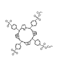 O=S(=O)([O-])c1ccc(-c2c3nc(c(-c4ccc(S(=O)(=O)[O-])cc4)c4ccc([nH]4)c(-c4ccc(S(=O)(=O)[O-])cc4)c4nc(c(-c5ccc(S(=O)(=O)[O-])cc5)c5ccc2[nH]5)C=C4)C=C3)cc1.[Cu+2].[Cu+2]